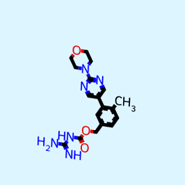 Cc1ccc(COC(=O)NC(=N)N)cc1-c1cnc(N2CCOCC2)nc1